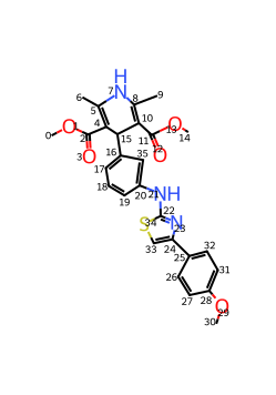 COC(=O)C1=C(C)NC(C)=C(C(=O)OC)C1c1cccc(Nc2nc(-c3ccc(OC)cc3)cs2)c1